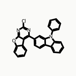 Clc1nc(-c2ccc3c4ccccc4n(-c4ccccc4)c3c2)c2c(n1)oc1ccccc12